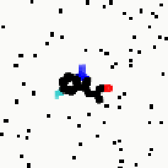 CC(C=O)Cc1c[nH]c2ccc(F)cc12